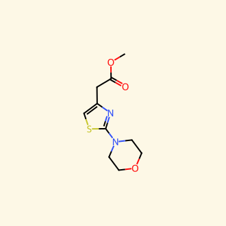 COC(=O)Cc1csc(N2CCOCC2)n1